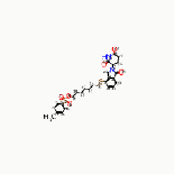 Cc1ccc(S(=O)(=O)OCCCCCCCSc2cccc3c2CN(C2CCC(=O)NC2=O)C3=O)cc1